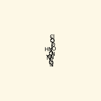 Cc1nc(N2CCN(C)CC2)nc2ncc(NC(=O)COc3ccc(Cl)cc3)cc12